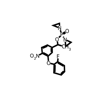 CC(OP(=O)(N1CC1)N1CC1)c1ccc([N+](=O)[O-])c(Oc2ccccc2F)c1